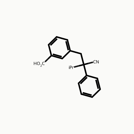 CC(C)C(C#N)(Cc1cccc(C(=O)O)c1)c1ccccc1